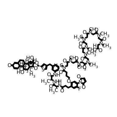 C[C@H](NC(=O)CCc1cc(F)c(N2C(=O)C=CC2=O)cc1OCCCC(=O)N(C)CC(=O)N(C)CC(=O)N(C)CC(=O)N(C)CC(=O)N(C)CC(=O)N(C)CC(=O)N(C)CC(=O)N(C)CC(=O)N(C)CC(=O)N(C)CC(=O)O)C(=O)N[C@@H](C)C(=O)Nc1cccc(Cc2csc([C@@H]3O[C@@H]4C[C@H]5[C@@H]6CCC7=CC(=O)C=C[C@]7(C)[C@@]6(F)[C@@H](O)C[C@]5(C)[C@]4(C(=O)CO)O3)c2)c1